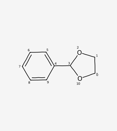 [CH]1COC(c2ccccc2)O1